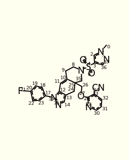 Cn1cc(S(=O)(=O)N2CCC3=Cc4c(cnn4-c4ccc(F)cc4)CC3(COc3ncccc3C#N)C2)cn1